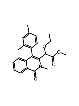 CCOC(C(=O)OC)c1c(-c2ccc(C)cc2C)c2ccccc2c(=O)n1C